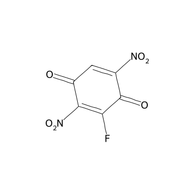 O=C1C=C([N+](=O)[O-])C(=O)C(F)=C1[N+](=O)[O-]